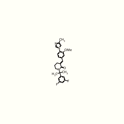 COc1cc(/C=C2\CCCN(C(C)(C)c3cc(F)cc(F)c3)C2=O)ccc1-n1cnc(C)c1